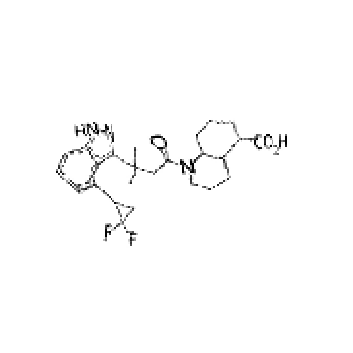 CC(C)(CC(=O)N1CCCC2C(C(=O)O)CCCC21)c1n[nH]c2cccc(C3CC3(F)F)c12